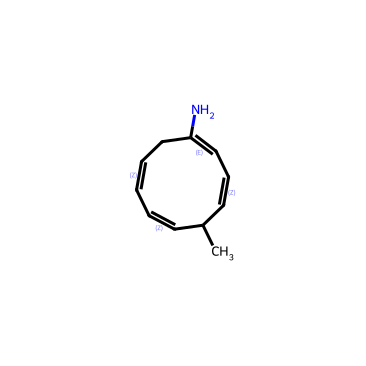 CC1/C=C\C=C/C/C(N)=C\C=C/1